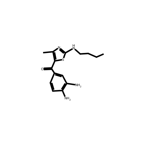 CCCCNc1nc(C)c(C(=O)c2ccc(N)c(N)c2)s1